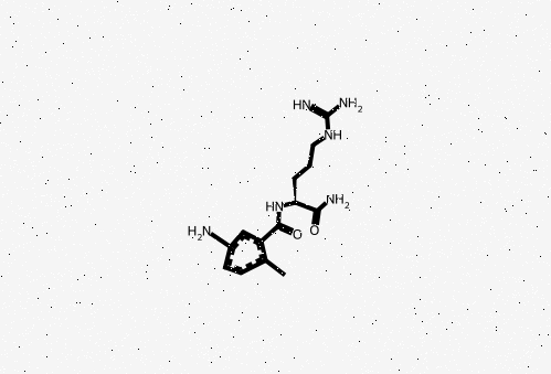 Cc1ccc(N)cc1C(=O)N[C@@H](CCCNC(=N)N)C(N)=O